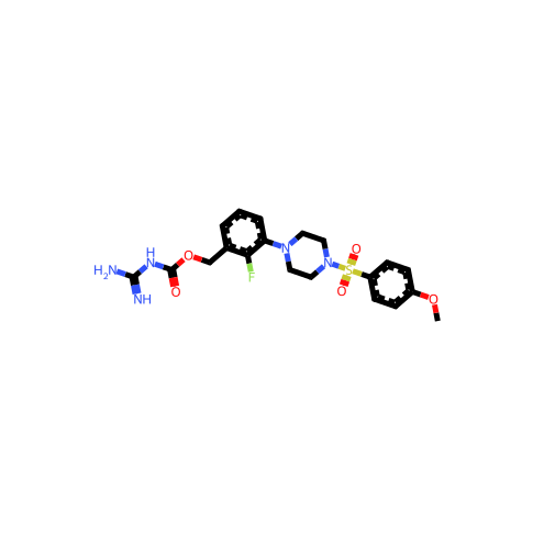 COc1ccc(S(=O)(=O)N2CCN(c3cccc(COC(=O)NC(=N)N)c3F)CC2)cc1